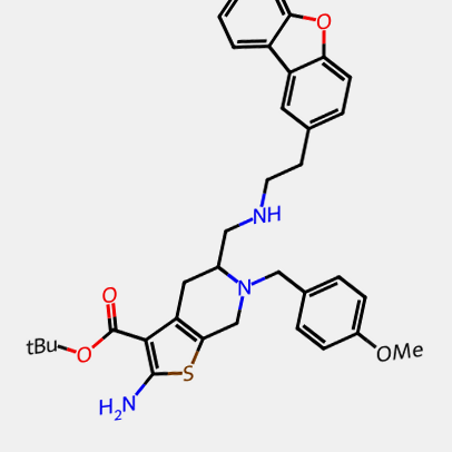 COc1ccc(CN2Cc3sc(N)c(C(=O)OC(C)(C)C)c3CC2CNCCc2ccc3oc4ccccc4c3c2)cc1